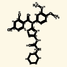 COc1ccc(N(C(=O)c2ccc(Cl)cc2Cl)c2nc(OC(=O)NC3CCCCC3)cs2)cc1OC